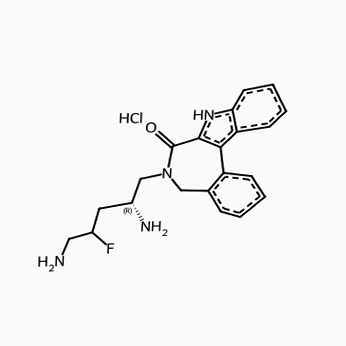 Cl.NCC(F)C[C@@H](N)CN1Cc2ccccc2-c2c([nH]c3ccccc23)C1=O